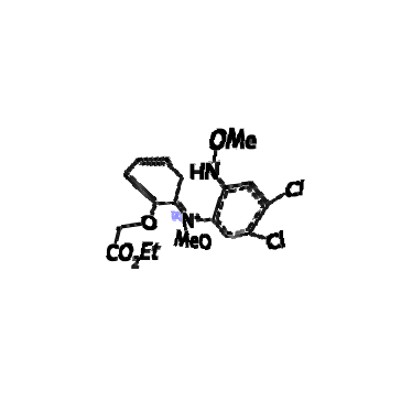 CCOC(=O)COC1=CC=CC/C1=[N+](/OC)c1cc(Cl)c(Cl)cc1NOC